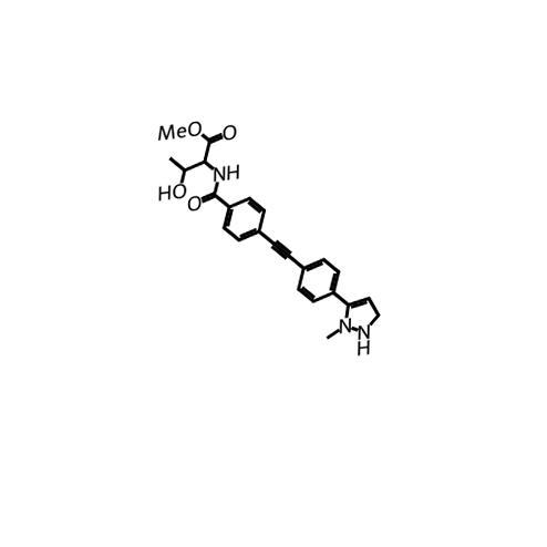 COC(=O)C(NC(=O)c1ccc(C#Cc2ccc(C3=CCNN3C)cc2)cc1)C(C)O